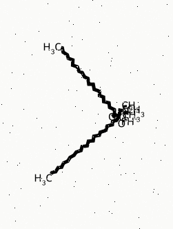 CCCCCCCCCCCCCCCCCCCCCCC(=O)C(C[N+](C)(C)C)(O[PH-])C(=O)CCCCCCCCCCCCCCCCCCCCCC